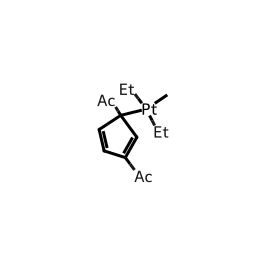 C[CH2][Pt]([CH3])([CH2]C)[C]1(C(C)=O)C=CC(C(C)=O)=C1